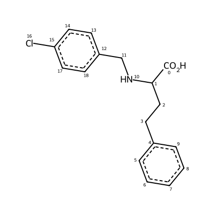 O=C(O)C(CCc1ccccc1)NCc1ccc(Cl)cc1